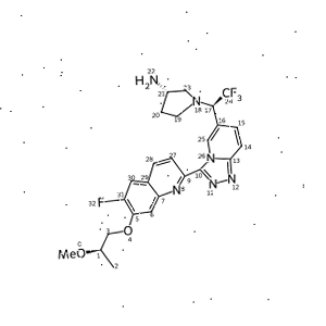 CO[C@H](C)COc1cc2nc(-c3nnc4ccc([C@@H](N5CC[C@H](N)C5)C(F)(F)F)cn34)ccc2cc1F